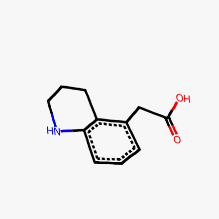 O=C(O)Cc1cccc2c1CCCN2